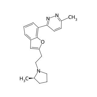 Cc1ccc(-c2cccc3cc(CCN4CCC[C@H]4C)oc23)nn1